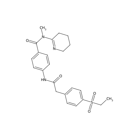 CCS(=O)(=O)c1ccc(CC(=O)Nc2ccc(C(=O)N(C)C3=NCCCC3)cc2)cc1